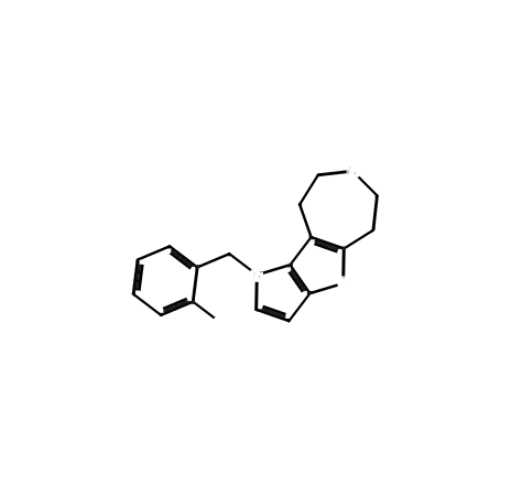 Clc1ccccc1Cn1ccc2sc3c(c21)CCNCC3